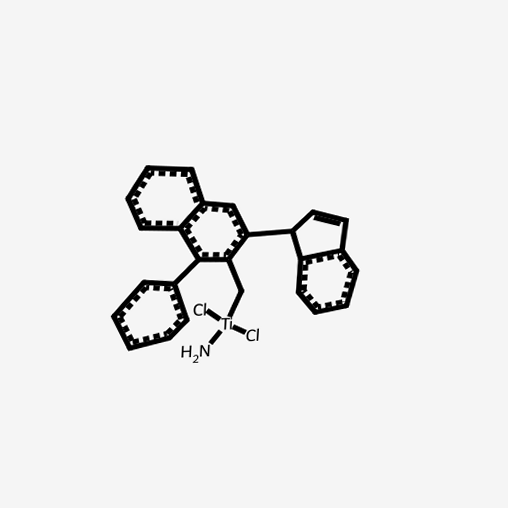 [NH2][Ti]([Cl])([Cl])[CH2]c1c(C2C=Cc3ccccc32)cc2ccccc2c1-c1ccccc1